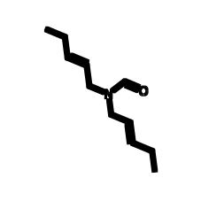 CCC=CCN(C=O)CC=CCC